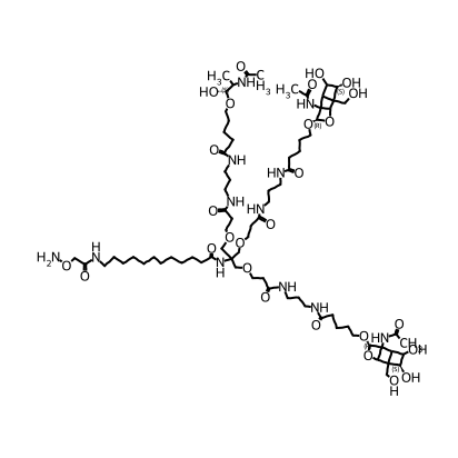 CC(=O)NC(C)[C@@H](O)OCCCCC(=O)NCCCNC(=O)CCOCC(COCCC(=O)NCCCNC(=O)CCCCO[C@@H]1OC2C3(CO)C(C(O)[C@H]3O)C21NC(C)=O)(COCCC(=O)NCCCNC(=O)CCCCO[C@@H]1OC2C3(CO)C(C(O)[C@H]3O)C21NC(C)=O)NC(=O)CCCCCCCCCCCNC(=O)CON